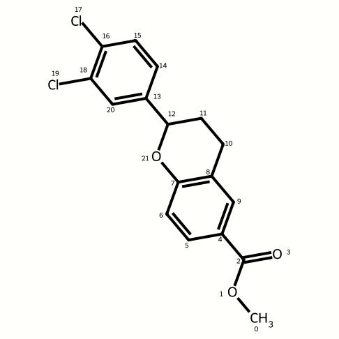 COC(=O)c1ccc2c(c1)CCC(c1ccc(Cl)c(Cl)c1)O2